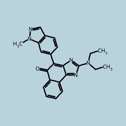 CCN(CC)C1=NC2=C(c3ccc4cnn(C)c4c3)C(=O)c3ccccc3C2=N1